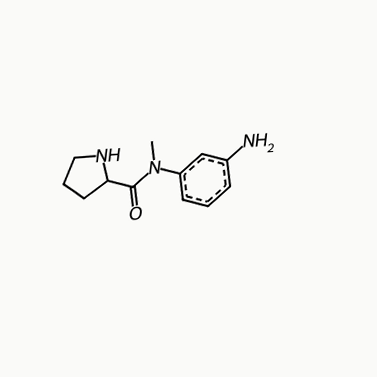 CN(C(=O)C1CCCN1)c1cccc(N)c1